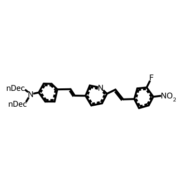 CCCCCCCCCCN(CCCCCCCCCC)c1ccc(C=Cc2ccc(C=Cc3ccc([N+](=O)[O-])c(F)c3)nc2)cc1